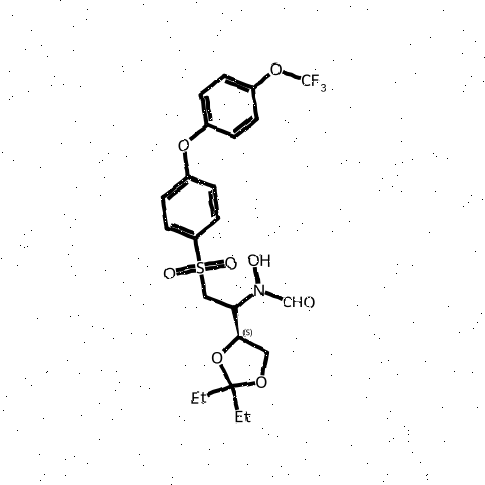 CCC1(CC)OC[C@H](C(CS(=O)(=O)c2ccc(Oc3ccc(OC(F)(F)F)cc3)cc2)N(O)C=O)O1